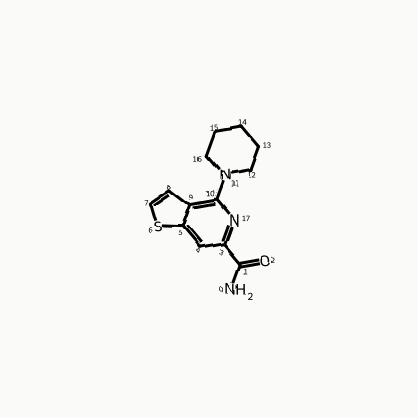 NC(=O)c1cc2sccc2c(N2CCCCC2)n1